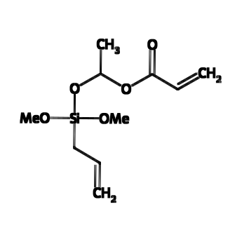 C=CC[Si](OC)(OC)OC(C)OC(=O)C=C